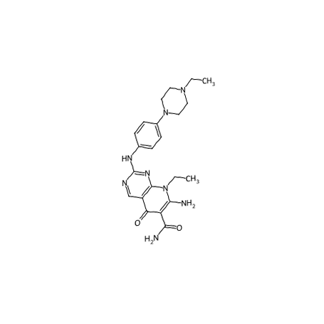 CCN1CCN(c2ccc(Nc3ncc4c(=O)c(C(N)=O)c(N)n(CC)c4n3)cc2)CC1